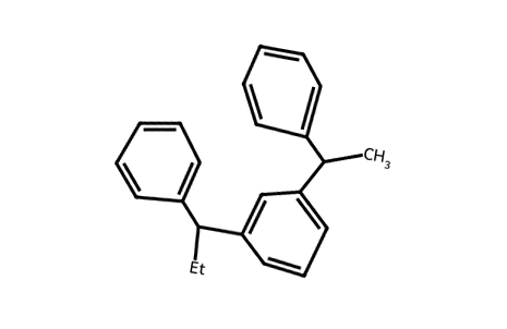 CCC(c1ccccc1)c1cccc(C(C)c2ccccc2)c1